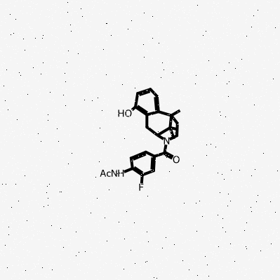 CC(=O)Nc1ccc(C(=O)N2CCC3(C)c4cccc(O)c4CC2C3(C)C)cc1F